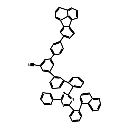 N#Cc1cc(-c2ccc(-c3ccc4c(c3)-c3cccc5cccc-4c35)cc2)cc(-c2cccc(-c3ccccc3-c3nc(-c4ccccc4)nc(-c4ccccc4-c4cccc5ccccc45)n3)c2)c1